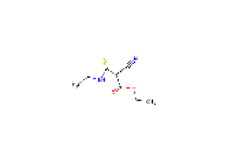 CCNC(=S)C(C#N)C(=O)OCC